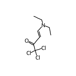 CCN(C=CC(=O)C(Cl)(Cl)Cl)CC